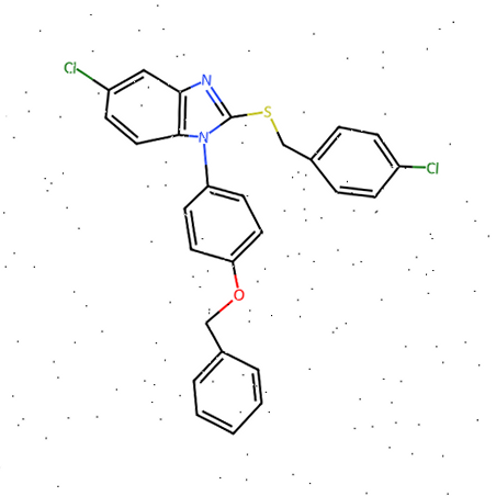 Clc1ccc(CSc2nc3cc(Cl)ccc3n2-c2ccc(OCc3ccccc3)cc2)cc1